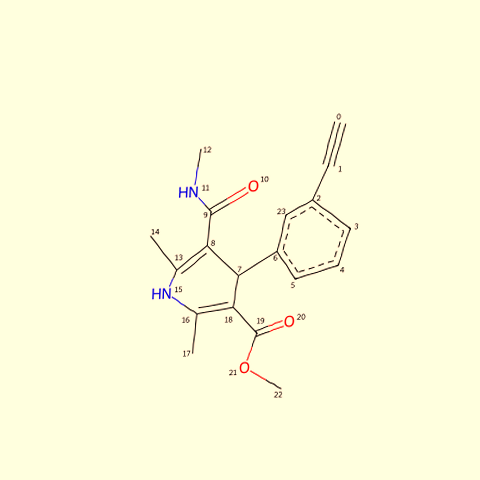 C#Cc1cccc(C2C(C(=O)NC)=C(C)NC(C)=C2C(=O)OC)c1